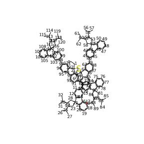 CCC1(SC2(CC)c3cc(-c4ccc5c(c4)-c4ccccc4C5(CCC(C)C)CCC(C)C)ccc3-c3ccc(-c4ccc5c(c4)-c4ccccc4C5(CCC(C)C)CCC(C)C)cc32)c2cc(-c3ccc4c(c3)-c3ccccc3C4(CCC(C)C)CCC(C)C)ccc2-c2ccc(-c3ccc4c(c3)-c3ccccc3C4(CCC(C)C)CCC(C)C)cc21